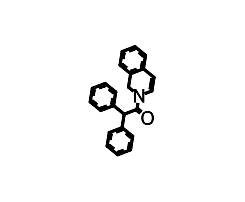 O=C(C(c1ccccc1)c1ccccc1)N1C=Cc2ccccc2C1